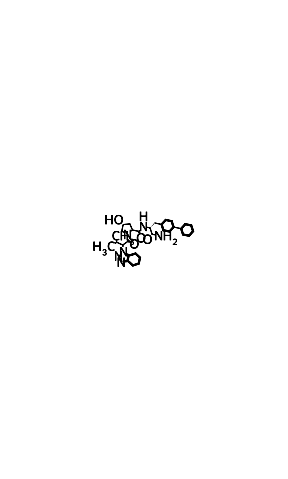 CC(C)C(C(=O)N1CC(O)CC1C(=O)N[C@H](Cc1ccc(-c2ccccc2)cc1)C(N)=O)n1nnc2ccccc21